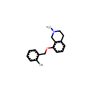 CN1CCc2cccc(OCc3ccccc3C#N)c2C1